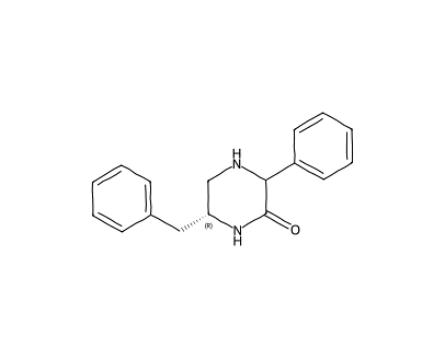 O=C1N[C@H](Cc2ccccc2)CNC1c1ccccc1